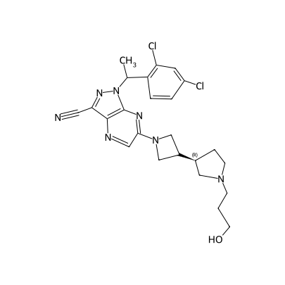 CC(c1ccc(Cl)cc1Cl)n1nc(C#N)c2ncc(N3CC([C@H]4CCN(CCCO)C4)C3)nc21